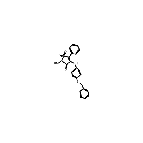 CC(C)(C)N1C(=O)C(Nc2ccc(OCc3ccccc3)cc2)=C(c2ccccc2)S1(=O)=O